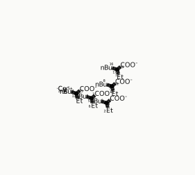 CCCCC(CC)C(=O)[O-].CCCCC(CC)C(=O)[O-].CCCCC(CC)C(=O)[O-].CCCCC(CC)C(=O)[O-].CCCCC(CC)C(=O)[O-].[Co].[V+5]